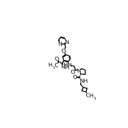 CC(=O)C(=N)c1cc(OCc2ncccn2)ccc1NCC(=O)N1CCC[C@H]1C(=O)NCC1CC(C)C1